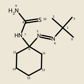 CC(C)(C)N=NC1(NC(N)=S)CCCCC1